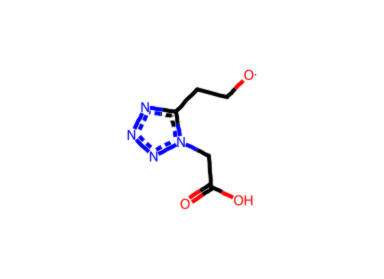 [O]CCc1nnnn1CC(=O)O